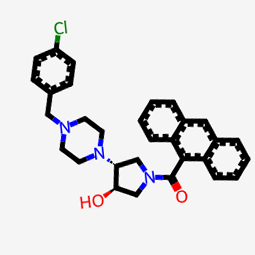 O=C(c1c2ccccc2cc2ccccc12)N1C[C@@H](O)[C@H](N2CCN(Cc3ccc(Cl)cc3)CC2)C1